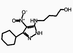 O=[N+]([O-])c1c(C2CCCCC2)n[nH]c1NCCCCO